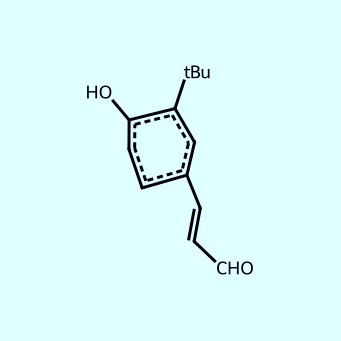 CC(C)(C)c1cc(C=CC=O)ccc1O